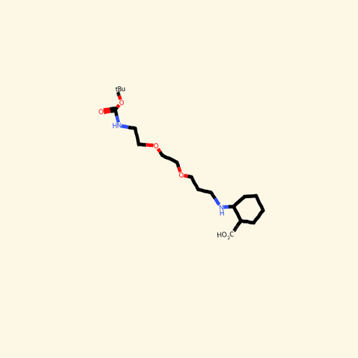 CC(C)(C)OC(=O)NCCOCCOCCCNC1CCCCC1C(=O)O